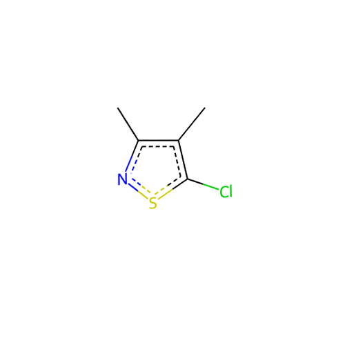 Cc1nsc(Cl)c1C